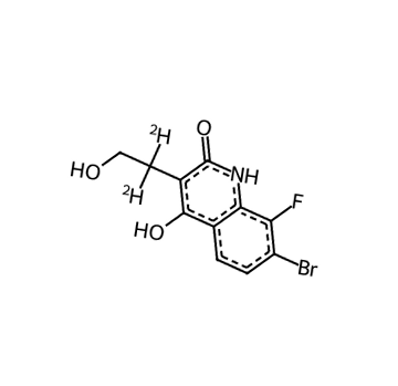 [2H]C([2H])(CO)c1c(O)c2ccc(Br)c(F)c2[nH]c1=O